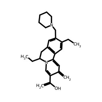 C=C(O)C1=CN2C(=CC1=C)c1cc(CC)c(CN3CCCCC3)cc1CC2CC